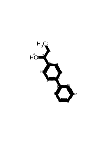 CCC(O)c1ccc(-c2ccccc2)cc1